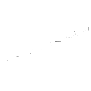 OCCOCCOCCOCCOCC(O)CO